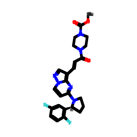 CC(C)(C)OC(=O)N1CCN(C(=O)C=Cc2cnn3ccc(N4CCC[C@@H]4c4cc(F)ccc4F)nc23)CC1